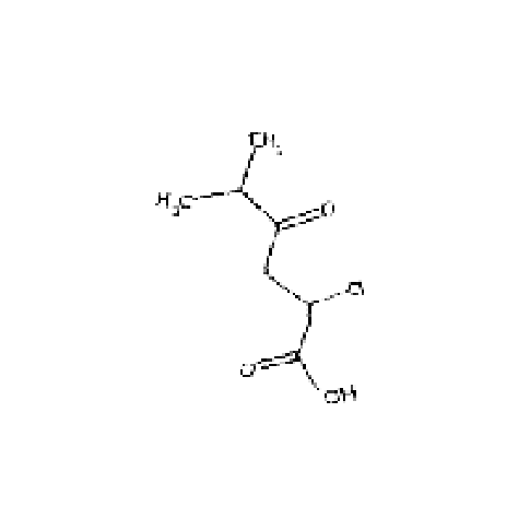 CC(C)C(=O)CC(Cl)C(=O)O